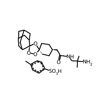 CC(C)(N)CNC(=O)C[C@H]1CC[C@]2(CC1)OO[C@]1(O2)C2CC3CC(C2)CC1C3.Cc1ccc(S(=O)(=O)O)cc1